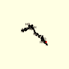 CCc1cc2c(cc1N1CCC(N3CCN(C(=O)CCCCCC(=O)N[C@H](C(=O)N4C[C@H](O)C[C@H]4C(=O)NCc4ccc(-c5scnc5C)cc4)C(C)(C)C)CC3)CC1)C(C)(C)c1[nH]c3cc(C#N)ccc3c1C2=O